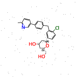 Cc1ccc(-c2ccc(Cc3cc([C@H]4CC(O)C[C@@H](CO)O4)ccc3Cl)cc2)cn1